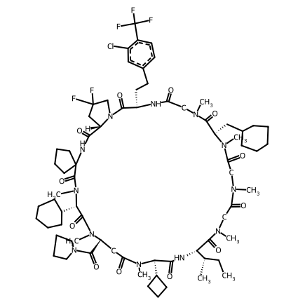 CC[C@H](C)[C@@H]1NC(=O)[C@H](C2CCC2)N(C)C(=O)C[C@@H](C(=O)N2CCCC2)N(C)C(=O)[C@H](C2CCCCC2)N(C)C(=O)C2(CCCC2)NC(=O)[C@@H]2CC(F)(F)CN2C(=O)[C@H](CCc2ccc(C(F)(F)F)c(Cl)c2)NC(=O)CN(C)C(=O)[C@H](CC2CCCCC2)N(C)C(=O)CN(C)C(=O)CN(C)C1=O